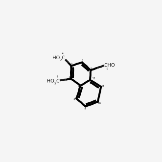 O=Cc1cc(C(=O)O)c(C(=O)O)c2ccccc12